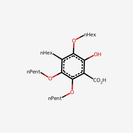 CCCCCCOc1c(O)c(C(=O)O)c(OCCCCC)c(OCCCCC)c1CCCCCC